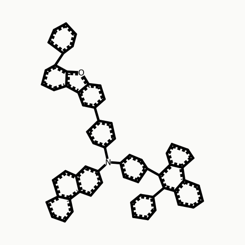 c1ccc(-c2c(-c3ccc(N(c4ccc(-c5ccc6oc7c(-c8ccccc8)cccc7c6c5)cc4)c4ccc5c(ccc6ccccc65)c4)cc3)c3ccccc3c3ccccc23)cc1